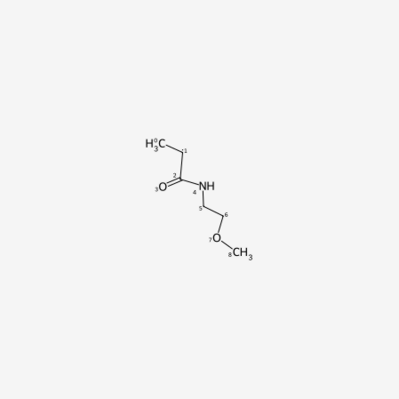 C[CH]C(=O)NCCOC